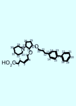 O=C(O)CC/C=C\CO[C@H]1[C@@H](OCCCc2ccc(-c3ccccc3)cc2)CC[C@@H]1N1CCCCC1